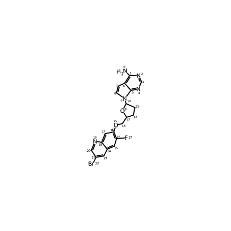 Nc1ncnc2c1ccn2C1CCC(COc2cc3ncc(Br)cc3cc2F)O1